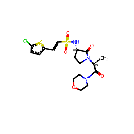 C[C@@H](C(=O)N1CCOCC1)N1CC[C@H](NS(=O)(=O)C=Cc2ccc(Cl)s2)C1=O